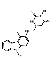 COCC(CNc1ccc2c(c1C)c1ccccc1n2C(C)C)NC(=O)OC(C)(C)C